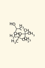 CC(C)(C)OC(C)(C)C.CC(C)O